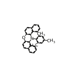 Cc1cc(C)c(N2c3c(ccc4ccccc34)Oc3ccc4ccccc4c32)c(C)c1